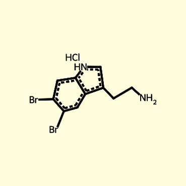 Cl.NCCc1c[nH]c2cc(Br)c(Br)cc12